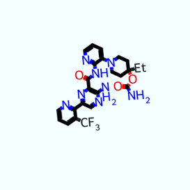 CCC1(OC(N)=O)CCN(c2cccnc2NC(=O)c2nc(-c3ncccc3C(F)(F)F)cnc2N)CC1